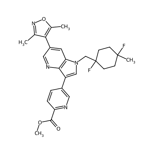 COC(=O)c1ccc(-c2cn(CC3(F)CCC(C)(F)CC3)c3cc(-c4c(C)noc4C)cnc23)cn1